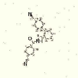 N#Cc1ccc(C(=O)NCc2ccccc2-c2ccc(C#N)cc2)cc1